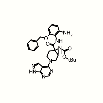 CC(C)(C)OC(=O)NC1(C(=O)Nc2c(N)cccc2OCc2ccccc2)CCN(c2ncnc3[nH]ncc23)CC1